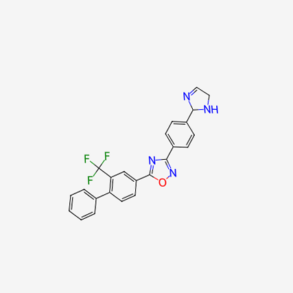 FC(F)(F)c1cc(-c2nc(-c3ccc(C4N=CCN4)cc3)no2)ccc1-c1ccccc1